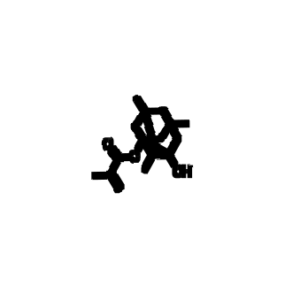 C=C(C)C(=O)OC12CC3(C)CC(C)(CC(O)(C3)C1C)C2